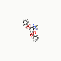 O=C(Oc1ccc(OC(=O)c2ccccc2)c2nsnc12)c1ccccc1